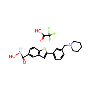 O=C(NO)c1ccc2sc(-c3cccc(CN4CCCCC4)c3)cc2c1.O=C(O)C(F)(F)F